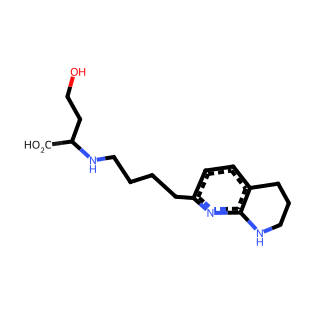 O=C(O)C(CCO)NCCCCc1ccc2c(n1)NCCC2